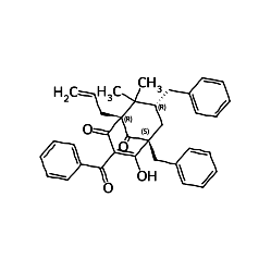 C=CC[C@@]12C(=O)C(C(=O)c3ccccc3)=C(O)[C@@](Cc3ccccc3)(C[C@@H](Cc3ccccc3)C1(C)C)C2=O